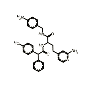 Nc1ccc(CNC(=O)C(CCc2ccnc(N)c2)NC(=O)C(c2ccccc2)c2ccc(O)cc2)cc1